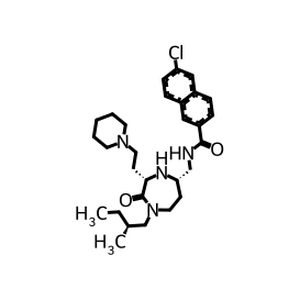 CC[C@H](C)CN1CC[C@@H](CNC(=O)c2ccc3cc(Cl)ccc3c2)N[C@@H](CCN2CCCCC2)C1=O